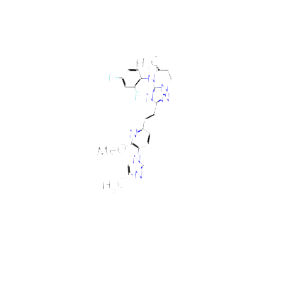 COc1nc(C=Cc2nc3n(n2)CC[C@H](C)N3c2ccc(F)cc2F)ccc1-n1cnc(C)c1